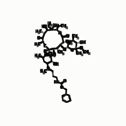 CC[C@H]1OC(=O)[C@H](C)[C@@H](O[C@@H]2O[C@@H](C)[C@H](O)[C@](C)(OC)O2)[C@H](C)[C@@H](O[C@@H]2O[C@H](C)C[C@H](N(C)CCCNC(=O)OCc3ccccc3)[C@H]2O)[C@@](C)(OC)C[C@@H](C)C(=O)[C@H](C)[C@@H](O)[C@]1(C)O